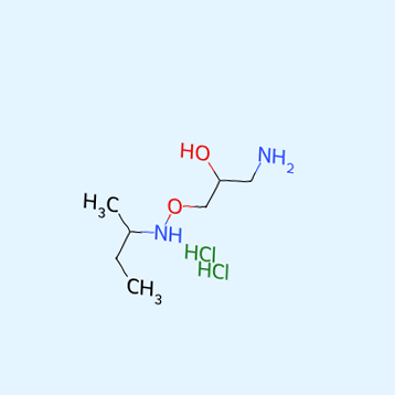 CCC(C)NOCC(O)CN.Cl.Cl